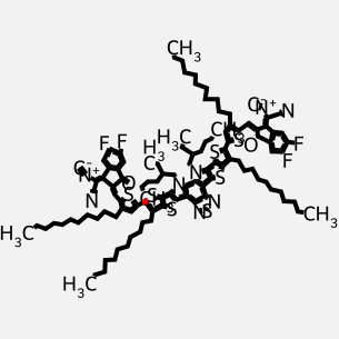 [C-]#[N+]/C(C#N)=C1\C(=C\c2sc(-c3sc4c(sc5c6c7nsnc7c7c8sc9c(CCCCCCCCCCC)c(-c%10cc(CCCCCCCCCCC)c(/C=C%11\C(=O)c%12cc(F)c(F)cc%12\C%11=C(\C#N)[N+]#[C-])s%10)sc9c8n(CC(CC)CCCC)c7c6n(CC(CC)CCCC)c45)c3CCCCCCCCCCC)cc2CCCCCCCCCCC)C(=O)c2cc(F)c(F)cc21